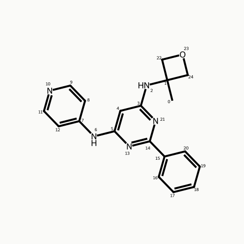 CC1(Nc2cc(Nc3ccncc3)nc(-c3ccccc3)n2)COC1